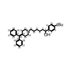 CC(C)(C)c1ccc(C(O)CCCCCN2CCC(=C(c3ccccc3)c3ccccc3)CC2)cc1